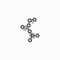 c1ccc(-c2nc(-c3ccccc3)nc(-c3ccc(-n4c5ccc(-c6cccc7c6sc6ccccc67)cc5n5c6ccccc6nc45)cc3)n2)cc1